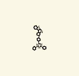 c1ccc(-c2nc(-c3ccccc3)nc(-c3ccc(-c4ccc5c(c4)ncc4sc6ccccc6c45)cc3)n2)cc1